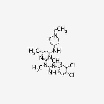 CCN1CCC(Nc2cc(C)nc(N(C)C(=N)N(C)c3ccc(Cl)c(Cl)c3)n2)CC1